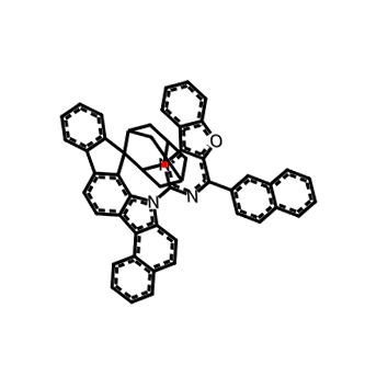 c1ccc2c(c1)-c1ccc3c4c5ccccc5ccc4n(-c4nc(-c5ccc6ccccc6c5)c5oc6ccccc6c5n4)c3c1C21C2CC3CC(C2)CC1C3